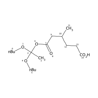 CCCCOC(C)(OCCCC)OC(=O)CC(C)CCC(=O)O